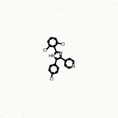 Clc1ccc(-c2[nH]c(-c3c(Cl)cccc3Cl)nc2-c2ccncc2)cc1